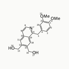 COc1ccc(Cc2nccc3cc(CO)c(CO)cc23)cc1OC